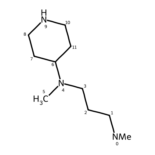 CNCCCN(C)C1CCNCC1